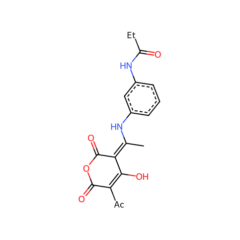 CCC(=O)Nc1cccc(NC(C)=C2C(=O)OC(=O)C(C(C)=O)=C2O)c1